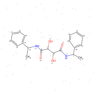 CC(NC(=O)C(O)C(O)C(=O)NC(C)c1ccccc1)c1ccccc1